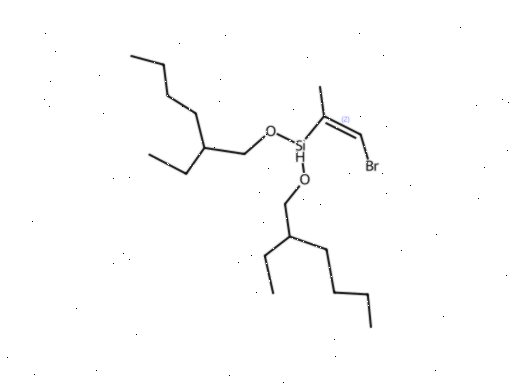 CCCCC(CC)CO[SiH](OCC(CC)CCCC)/C(C)=C\Br